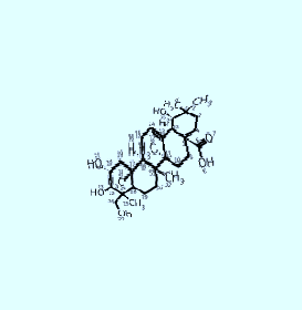 CC1(C)CC[C@]2(C(=O)O)CC[C@]3(C)C(=CC[C@@H]4[C@@]5(C)C[C@@H](O)[C@H](O)C(C)(CO)C5CC[C@]43C)[C@H]2[C@H]1O